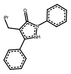 CC(C)Cc1c(-c2ccccc2)[nH]n(-c2ccccc2)c1=O